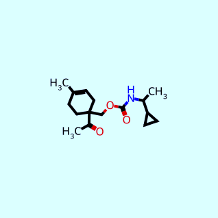 CC(=O)C1(COC(=O)NC(C)C2CC2)CC=C(C)CC1